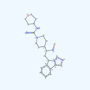 N=C(NC1CCOCC1)N1CCC(C(CC2c3ccccc3-c3cncn32)N=O)CC1